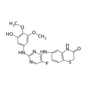 COc1cc(Nc2ncc(F)c(Nc3ccc4c(c3)NC(=O)CS4)n2)cc(O)c1OC